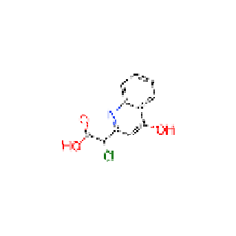 O=C(O)C(Cl)c1cc(O)c2ccccc2n1